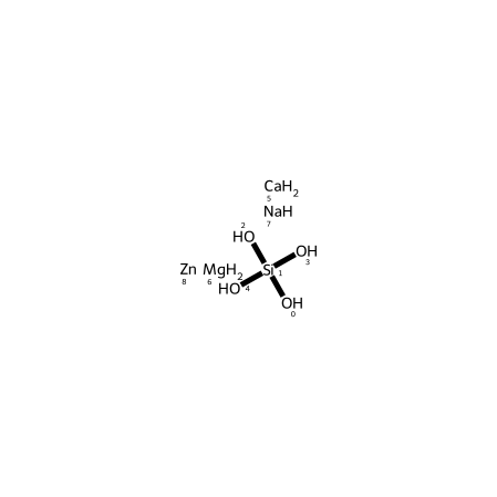 O[Si](O)(O)O.[CaH2].[MgH2].[NaH].[Zn]